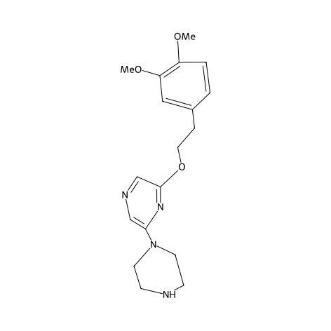 COc1ccc(CCOc2cncc(N3CCNCC3)n2)cc1OC